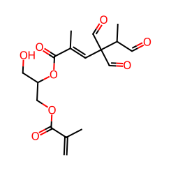 C=C(C)C(=O)OCC(CO)OC(=O)C(C)=CC(C=O)(C=O)C(C)C=O